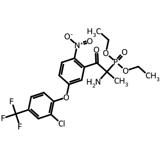 CCOP(=O)(OCC)C(C)(N)C(=O)c1cc(Oc2ccc(C(F)(F)F)cc2Cl)ccc1[N+](=O)[O-]